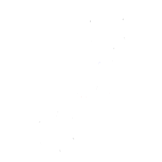 O=C(/C=C/c1ccccc1)OCc1[c]cccc1